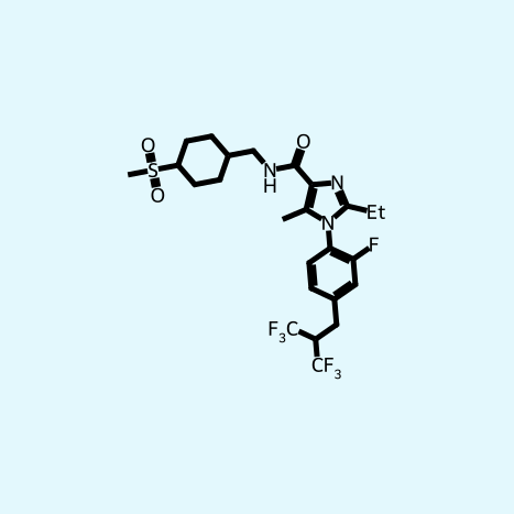 CCc1nc(C(=O)NCC2CCC(S(C)(=O)=O)CC2)c(C)n1-c1ccc(CC(C(F)(F)F)C(F)(F)F)cc1F